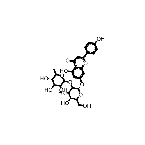 CC1O[C@@H](OC2C(O)[C@H](O)C(CO)O[C@H]2Oc2cc(O)c3c(=O)cc(-c4ccc(O)cc4)oc3c2)C(O)C(O)[C@@H]1O